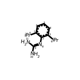 CC(C)c1cccc(C(C)C)c1N=C(N)N